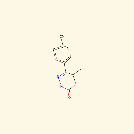 CC1CC(=O)NN=C1c1ccc(C#N)cc1